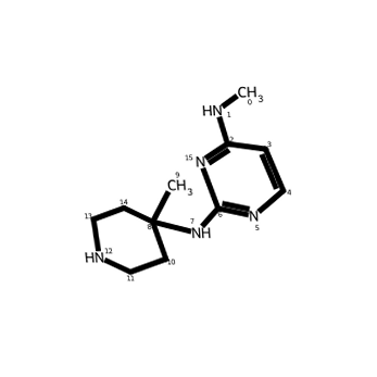 CNc1ccnc(NC2(C)CCNCC2)n1